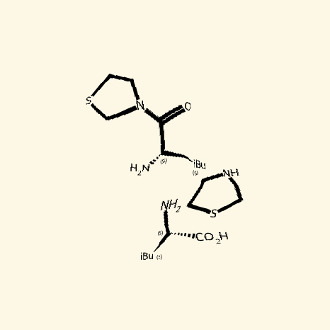 C1CSCN1.CC[C@H](C)[C@H](N)C(=O)N1CCSC1.CC[C@H](C)[C@H](N)C(=O)O